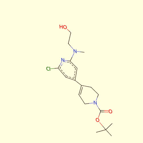 CN(CCO)c1cc(C2=CCN(C(=O)OC(C)(C)C)CC2)cc(Cl)n1